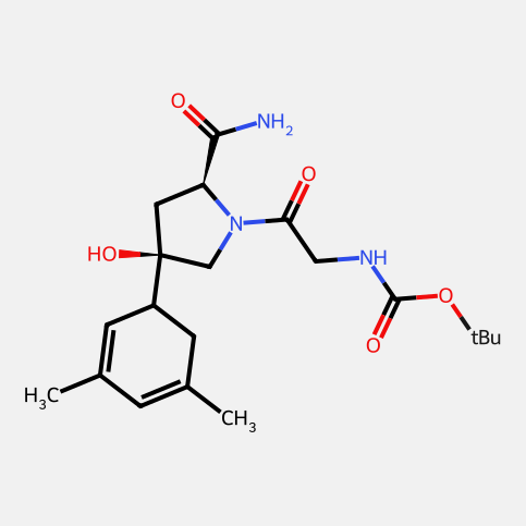 CC1=CC([C@]2(O)C[C@@H](C(N)=O)N(C(=O)CNC(=O)OC(C)(C)C)C2)CC(C)=C1